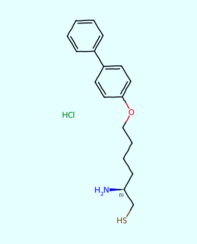 Cl.N[C@H](CS)CCCCOc1ccc(-c2ccccc2)cc1